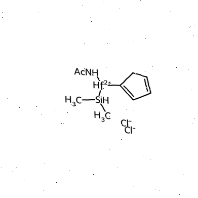 CC(=O)[NH][Hf+2]([C]1=CC=CC1)[SiH](C)C.[Cl-].[Cl-]